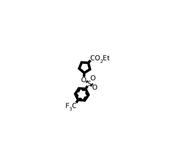 CCOC(=O)C1CCC(OS(=O)(=O)c2ccc(C(F)(F)F)cc2)C1